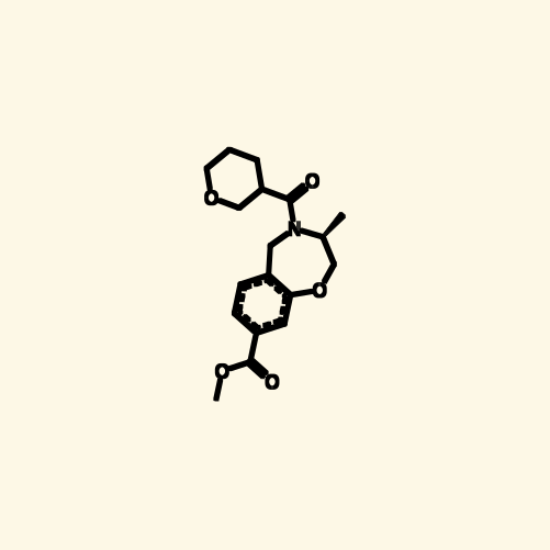 COC(=O)c1ccc2c(c1)OC[C@H](C)N(C(=O)C1CCCOC1)C2